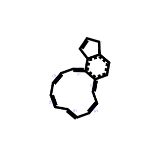 [CH]1C=Cc2c1ccc1/c2=C\C=C/C=C\C=C\C=C/C=1